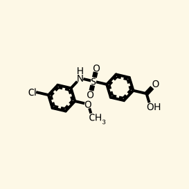 COc1ccc(Cl)cc1NS(=O)(=O)c1ccc(C(=O)O)cc1